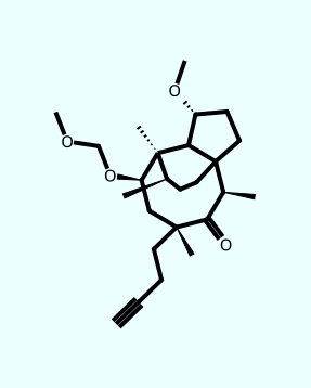 C#CCC[C@]1(C)C[C@@H](OCOC)[C@@]2(C)C3[C@H](OC)CCC3(CC[C@H]2C)[C@@H](C)C1=O